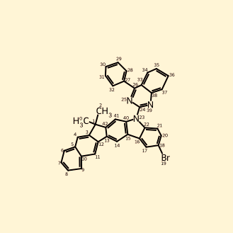 CC1(C)c2cc3ccccc3cc2-c2cc3c4cc(Br)ccc4n(-c4nc(-c5ccccc5)c5ccccc5n4)c3cc21